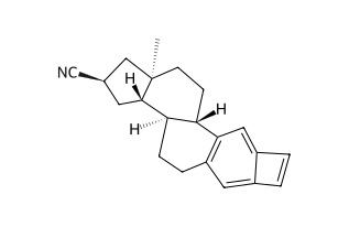 C[C@]12CC[C@@H]3c4cc5c(cc4CC[C@H]3[C@@H]1C[C@@H](C#N)C2)C=C5